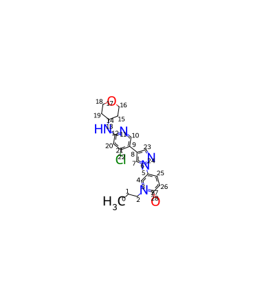 CCCn1cc(-n2cc(-c3cnc(NC4CCOCC4)cc3Cl)cn2)ccc1=O